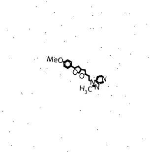 COc1ccc(C2CC3CC(CCn4c(C)nc5cnccc54)OC3O2)cc1